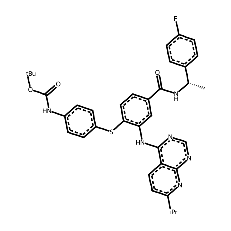 CC(C)c1ccc2c(Nc3cc(C(=O)N[C@@H](C)c4ccc(F)cc4)ccc3Sc3ccc(NC(=O)OC(C)(C)C)cc3)ncnc2n1